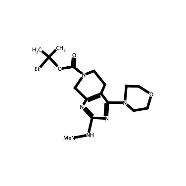 CCC(C)(C)OC(=O)N1CCc2c(nc(NNC)nc2N2CCOCC2)C1